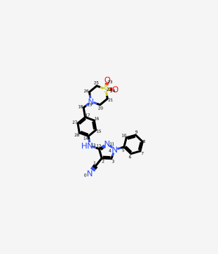 N#Cc1cn(-c2ccccc2)nc1Nc1ccc(CN2CCS(=O)(=O)CC2)cc1